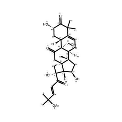 CC(=O)OC(C)(C)/C=C/C(=O)[C@@]1(O)C[C@]23CC(=O)[C@@]4(CO)[C@@H]5C[C@H](O)C(=O)C(C)(C)C5=CC[C@H]4[C@]2(C)C[C@@H](O)[C@@H]31